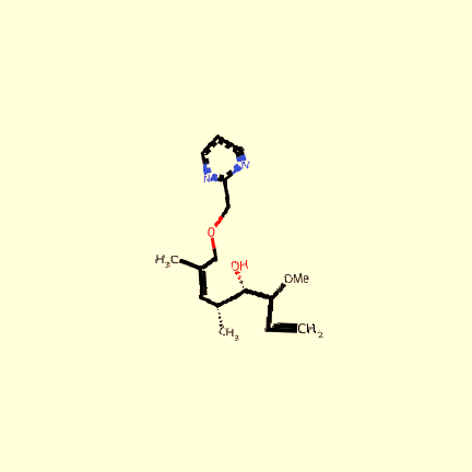 C=CC(OC)[C@@H](O)[C@H](C)/C=C(/C)COCc1ncccn1